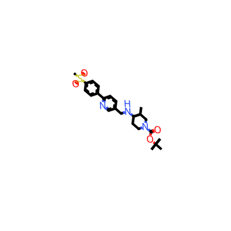 CC1CN(C(=O)OC(C)(C)C)CCC1NCc1ccc(-c2ccc(S(C)(=O)=O)cc2)nc1